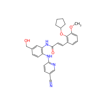 COc1cccc(/C=C/C(=O)Nc2cc(CO)ccc2Nc2ccc(C#N)cn2)c1OC1CCCC1